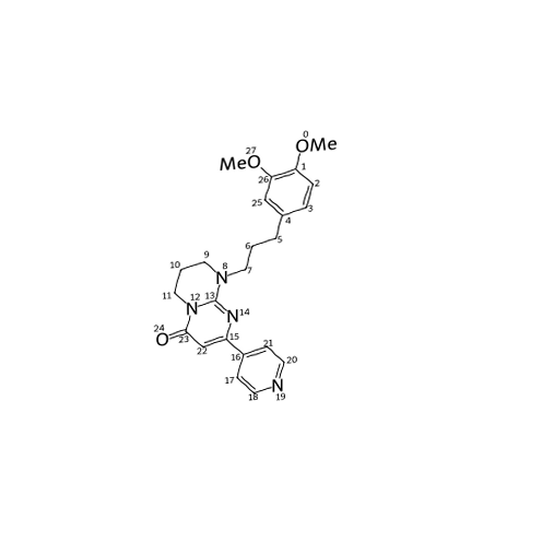 COc1ccc(CCCN2CCCn3c2nc(-c2ccncc2)cc3=O)cc1OC